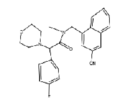 CN(Cc1cc(C#N)cc2ccccc12)C(=O)C(c1ccc(F)cc1)N1CCOCC1